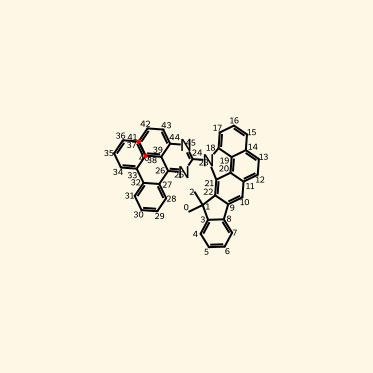 CC1(C)c2ccccc2-c2cc3ccc4cccc5c4c3c(c21)n5-c1nc(-c2ccccc2-c2ccccc2)c2ccccc2n1